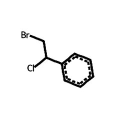 ClC(CBr)c1ccccc1